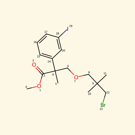 COC(=O)C(C)(COCC(C)(C)CBr)c1cccc(I)c1